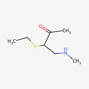 CCSC(CNC)C(C)=O